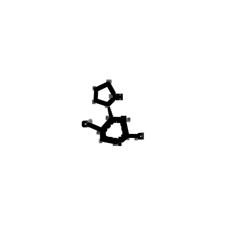 Clc1ncc(Cl)c([C@@H]2CCCN2)n1